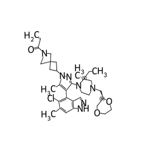 C=CC(=O)N1CC2(CC(n3nc(N4CCN(C[C@@H]5COCCO5)C[C@]4(C)CC)c(-c4c(Cl)c(C)cc5[nH]ncc45)c3C)C2)C1